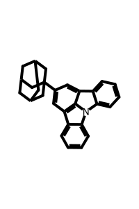 c1ccc2c(c1)c1cc(C34CC5CC(CC(C5)C3)C4)cc3c4ccccc4n2c13